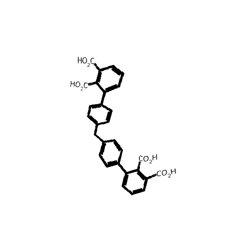 O=C(O)c1cccc(-c2ccc(Cc3ccc(-c4cccc(C(=O)O)c4C(=O)O)cc3)cc2)c1C(=O)O